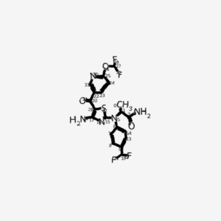 CC(C(N)=O)N(c1ccc(C(F)F)cc1)c1nc(N)c(C(=O)c2ccc(OC(F)F)nc2)s1